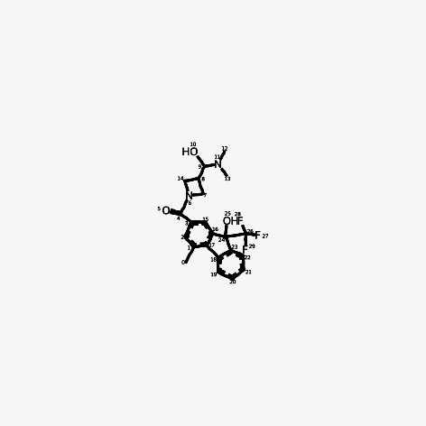 Cc1cc(C(=O)N2CC(C(O)N(C)C)C2)cc2c1-c1ccccc1C2(O)C(F)(F)F